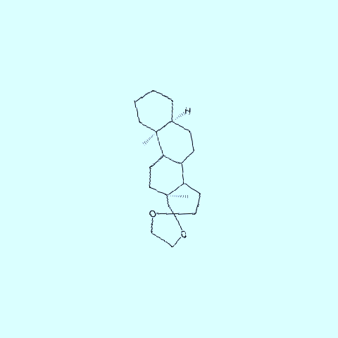 C[C@]12CCC3C(CC[C@@H]4CCCC[C@]34C)C1CCC21OCCO1